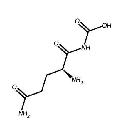 NC(=O)CC[C@H](N)C(=O)NC(=O)O